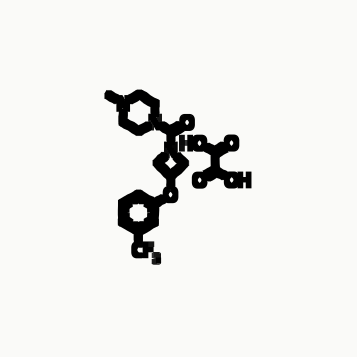 CN1CCN(C(=O)N2CC(Oc3cccc(C(F)(F)F)c3)C2)CC1.O=C(O)C(=O)O